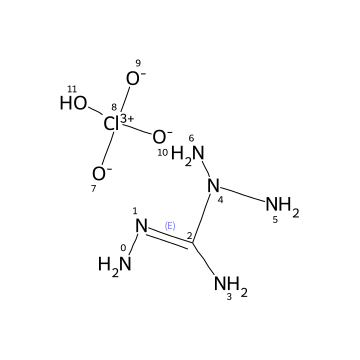 N/N=C(\N)N(N)N.[O-][Cl+3]([O-])([O-])O